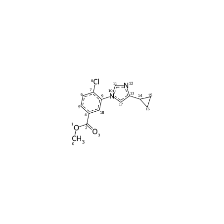 COC(=O)c1ccc(Cl)c(-n2cnc(C3CC3)c2)c1